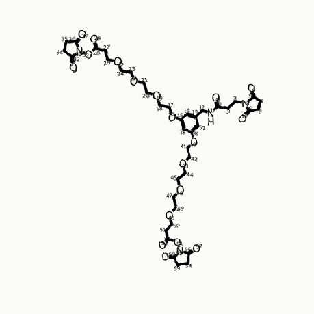 O=C(CCN1C(=O)C=CC1=O)NCc1cc(OCCOCCOCCOCCC(=O)ON2C(=O)CCC2=O)cc(OCCOCCOCCOCCC(=O)ON2C(=O)CCC2=O)c1